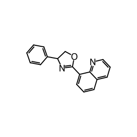 c1ccc(C2COC(c3cccc4cccnc34)=N2)cc1